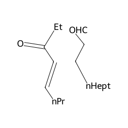 CCCC=CC(=O)CC.CCCCCCCCCC=O